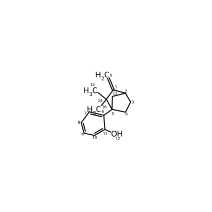 C=C1C2CCC(c3ccccc3O)(C2)C1(C)C